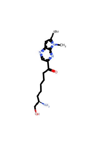 Cn1c(C(C)(C)C)cc2ncc(C(=O)CCCCC[C@@H](N)CO)nc21